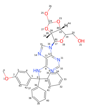 COc1ccc(C(Nc2ncnc3c2ncn3[C@@H]2OC(CO)[C@H]3OC(OC)O[C@]32C)(c2ccccc2)c2ccccc2)cc1